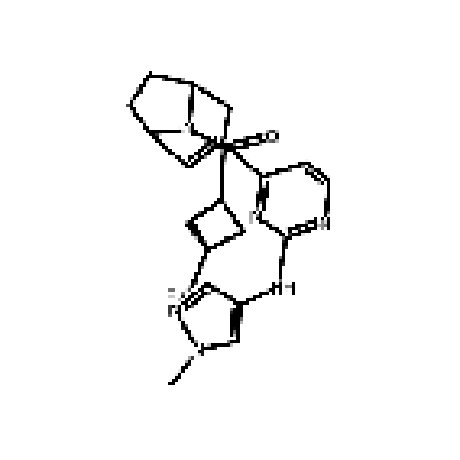 Cn1cc(Nc2nccc(C3=CC4CCC(C3)N4C(=O)C34CC(C(F)(F)F)(C3)C4)n2)cn1